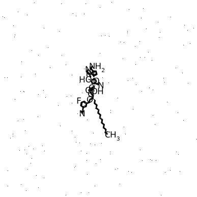 CCCCCCCCCCCCCCC[C@H](COP(=O)(O)OC[C@]1(C#N)C[C@@H](O)[C@H](c2ccc3c(N)ncnn23)O1)OCc1cc(F)cc(C#N)c1